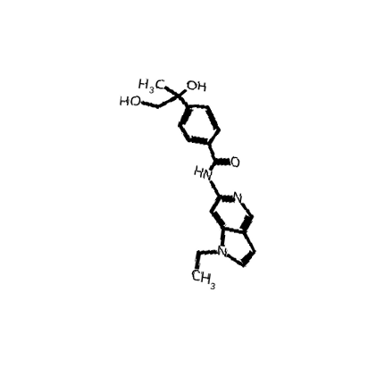 CCn1ccc2cnc(NC(=O)c3ccc(C(C)(O)CO)cc3)cc21